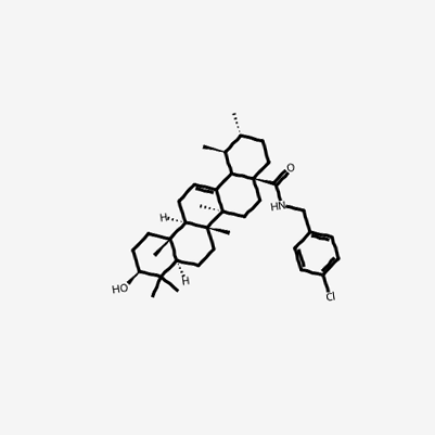 C[C@@H]1CC[C@]2(C(=O)NCc3ccc(Cl)cc3)CC[C@]3(C)C(=CC[C@@H]4[C@@]5(C)CC[C@H](O)C(C)(C)[C@@H]5CC[C@]43C)C2[C@H]1C